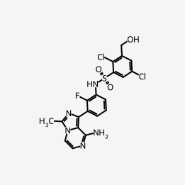 Cc1nc(-c2cccc(NS(=O)(=O)c3cc(Cl)cc(CO)c3Cl)c2F)c2c(N)nccn12